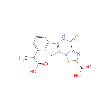 CC(C(=O)O)c1cccc2c1Cc1c-2[nH]c(=O)c2nc(C(=O)O)cn12